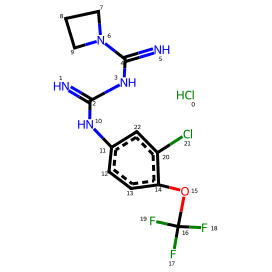 Cl.N=C(NC(=N)N1CCC1)Nc1ccc(OC(F)(F)F)c(Cl)c1